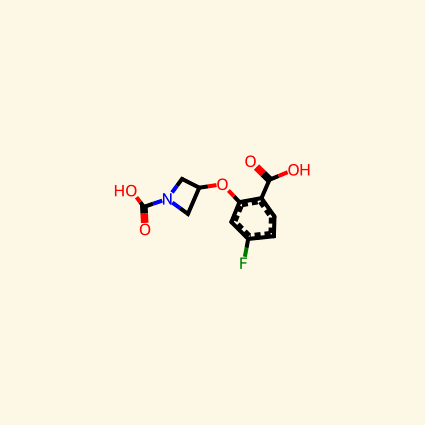 O=C(O)c1ccc(F)cc1OC1CN(C(=O)O)C1